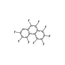 Fc1[c]c2c(F)c(F)c3c(F)c(F)c(F)c(F)c3c2c(F)c1F